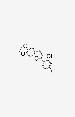 O=C(/C=C\c1ccc2c(c1)OCCO2)c1ccc(Cl)cc1O